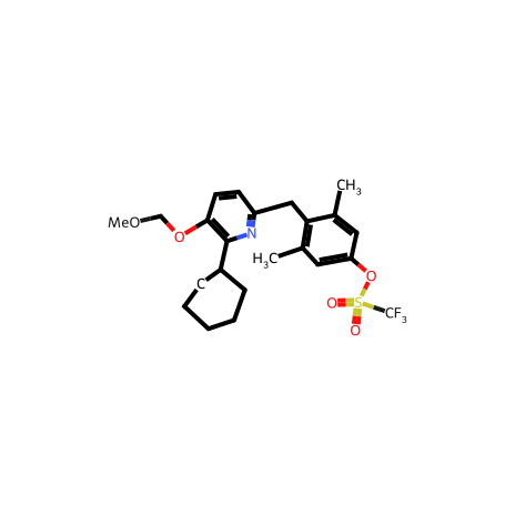 COCOc1ccc(Cc2c(C)cc(OS(=O)(=O)C(F)(F)F)cc2C)nc1C1CCCCC1